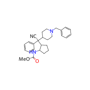 COC(=O)NC1CCCC1C(C#N)(c1ccccc1)C1CCN(Cc2ccccc2)CC1